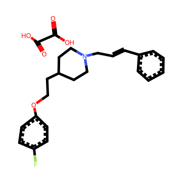 Fc1ccc(OCCC2CCN(CC=Cc3ccccc3)CC2)cc1.O=C(O)C(=O)O